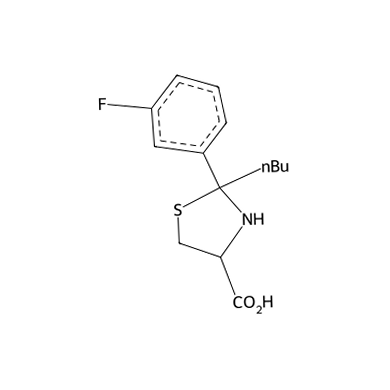 CCCCC1(c2cccc(F)c2)NC(C(=O)O)CS1